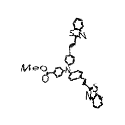 COC(=O)c1ccc(N(c2ccc(C=Cc3nc4ccccc4s3)cc2)c2ccc(C=Cc3nc4ccccc4s3)cc2)cc1